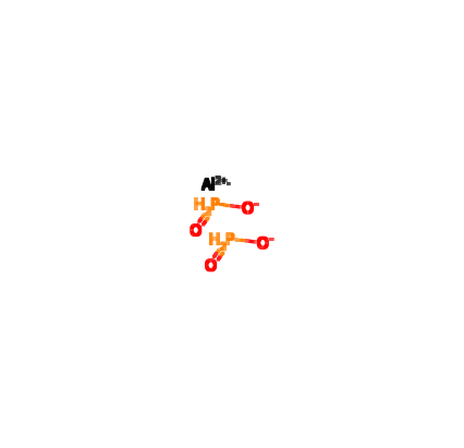 O=[PH2][O-].O=[PH2][O-].[Al+2]